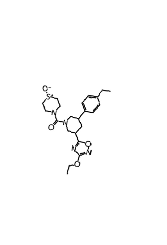 CCOc1noc(C2CC(c3ccc(CC)cc3)CN(C(=O)N3CC[S+]([O-])CC3)C2)n1